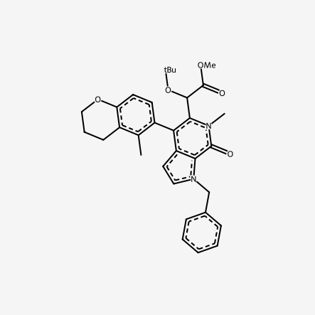 COC(=O)C(OC(C)(C)C)c1c(-c2ccc3c(c2C)CCCO3)c2ccn(Cc3ccccc3)c2c(=O)n1C